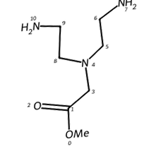 COC(=O)CN(CCN)CCN